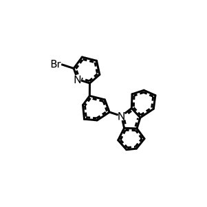 Brc1cccc(-c2cccc(-n3c4ccccc4c4ccccc43)c2)n1